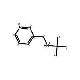 CC(C)(C)NCc1cccnn1